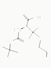 CC(C)(C)OC(=O)N[C@@H](C(=O)O)C(C)(C)SCCO